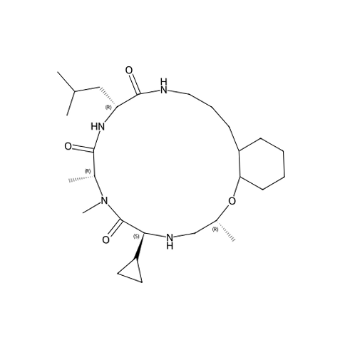 CC(C)C[C@H]1NC(=O)[C@@H](C)N(C)C(=O)[C@H](C2CC2)NC[C@@H](C)OC2CCCCC2CCCNC1=O